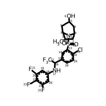 C[C@@H]1CC2CC(O)CC1N2S(=O)(=O)c1cc(C(Nc2cc(F)c(F)c(F)c2)C(F)(F)F)ccc1Cl